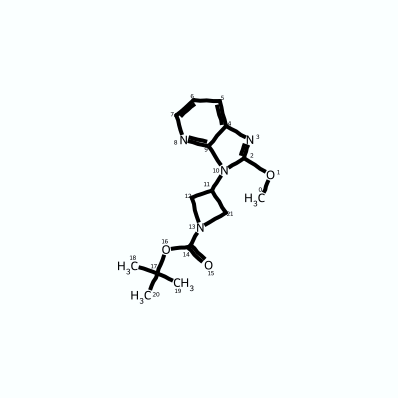 COc1nc2cccnc2n1C1CN(C(=O)OC(C)(C)C)C1